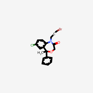 CC1(c2ccccc2)OCC(=O)N(CCCBr)c2ccc(Cl)cc21